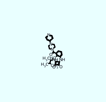 CC(C)[C@H](C)Nc1c(Nc2cccc(C(=O)N3CCN(c4ccncc4)CC3)c2O)c(=O)c1=O